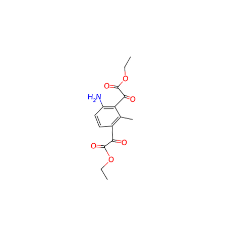 CCOC(=O)C(=O)c1ccc(N)c(C(=O)C(=O)OCC)c1C